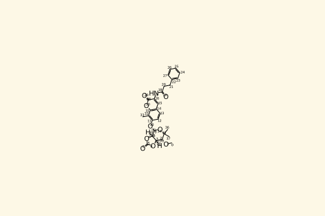 CO[C@@H]1[C@@H]2OC(=O)O[C@@H]2[C@H](Oc2ccc3cc(NC(=O)CCc4ccccc4)c(=O)oc3c2C)OC1(C)C